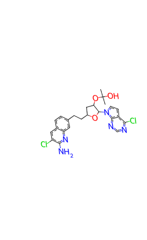 CC(C)(O)OC1CC(CCc2ccc3cc(Cl)c(N)nc3c2)OC1n1ccc2c(Cl)ncnc21